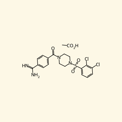 CC(=O)O.N=C(N)c1ccc(C(=O)N2CCN(S(=O)(=O)c3cccc(Cl)c3Cl)CC2)cc1